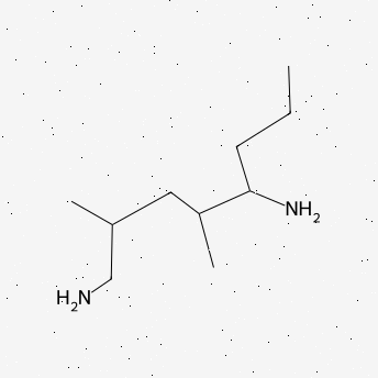 CCCC(N)C(C)CC(C)CN